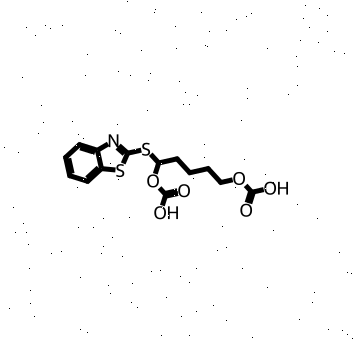 O=C(O)OCCCCC(OC(=O)O)Sc1nc2ccccc2s1